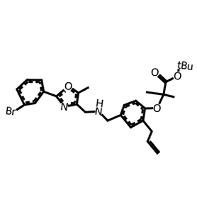 C=CCc1cc(CNCc2nc(-c3cccc(Br)c3)oc2C)ccc1OC(C)(C)C(=O)OC(C)(C)C